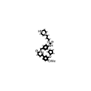 COc1ccc(C2=NN(Cc3ccc(NC(=O)OCCCN4CCNCC4)cc3)C(=O)CC2)cc1OC1CCCC1